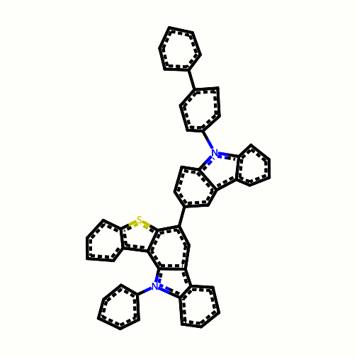 c1ccc(-c2ccc(-n3c4ccccc4c4cc(-c5cc6c7ccccc7n(-c7ccccc7)c6c6c5sc5ccccc56)ccc43)cc2)cc1